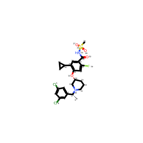 C[C@H](c1cc(Cl)cc(Cl)c1)N1CCC[C@@H](Oc2cc(F)c(C(=O)NS(C)(=O)=O)cc2C2CC2)C1